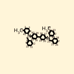 Cc1cccc(N(Cc2ccccc2)c2ccc(-c3ccc(N(Cc4ccccc4)c4cccc(C)c4)cc3)cc2)c1